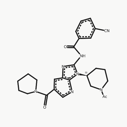 CC(=O)N1CCC[C@H](n2c(NC(=O)c3cccc(C#N)c3)nc3cc(C(=O)N4CCCCC4)cnc32)C1